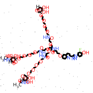 CC(=O)N[C@H]1[C@H]2OC[C@](COCCOCCOCCOCCNC(=O)CCOCC(COCCC(=O)NCCOCCOCCOCCOC[C@]34CO[C@H](C[C@@H](O)[C@H]3O)O4)(COCCC(=O)NCCOCCOCCOCCOC[C@@]34OO[C@@H](O3)[C@H](NC(C)=O)[C@@H](O)[C@H]4O)NC(=O)CCCOc3ccc4nc(-c5cn(-c6ccc(O)c(F)c6)nn5)ccc4c3)(O2)[C@H](O)[C@@H]1O